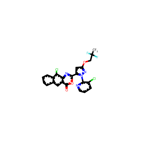 O=c1oc(-c2cc(OCC(F)(F)C(F)(F)F)nn2-c2ncccc2Cl)nc2c(Cl)c3ccccc3cc12